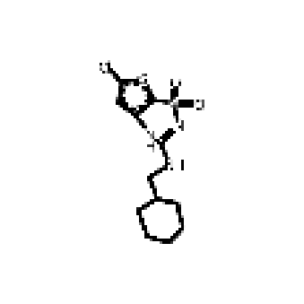 O=S1(=O)N=C(NCC2CCCCC2)Nc2cc(Cl)sc21